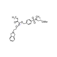 C=CC(=O)/C(=C\OCCN1Cc2ccccc2C1)OCc1ccc(S(=O)(=O)N(C)CCOC)cc1